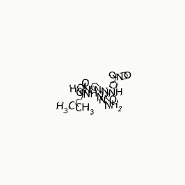 CC(C)CCC(=O)NN(C(=O)O)[C@@H]1CCCN(c2nnc(C(N)=O)c(Nc3ccc(C(=O)N4CCOCC4)cc3)n2)C1